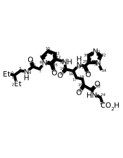 CCC(CC)CNC(=O)Cn1cccc(NC(=O)C(CCC(=O)C(=O)NCC(=O)O)NC(=O)c2cncn2C)c1=O